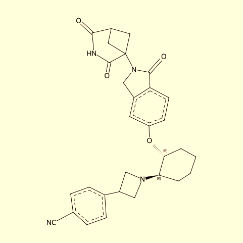 N#Cc1ccc(C2CN([C@@H]3CCCC[C@H]3Oc3ccc4c(c3)CN(C35CC(C3)C(=O)NC5=O)C4=O)C2)cc1